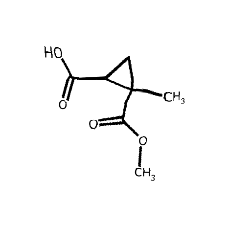 COC(=O)C1(C)CC1C(=O)O